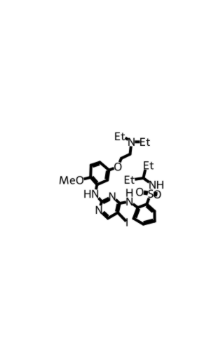 CCC(CC)NS(=O)(=O)c1ccccc1Nc1nc(Nc2cc(OCCN(CC)CC)ccc2OC)ncc1I